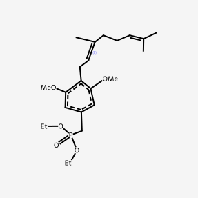 CCOP(=O)(Cc1cc(OC)c(C/C=C(\C)CCC=C(C)C)c(OC)c1)OCC